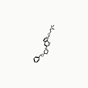 CS(C)(C)CCOCn1ccc2cc(N3CCC(OCc4ccccc4)C3)cnc21